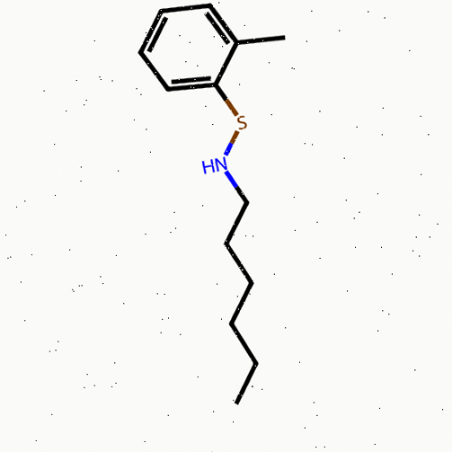 CCCCCCNSc1ccccc1C